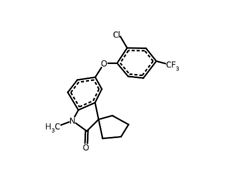 CN1C(=O)C2(CCCC2)c2cc(Oc3ccc(C(F)(F)F)cc3Cl)ccc21